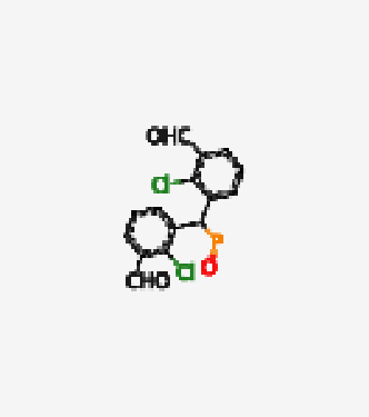 O=Cc1cccc(C(P=O)c2cccc(C=O)c2Cl)c1Cl